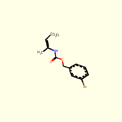 CCOC(=O)/C=C(/C)NC(=O)OCc1cccc(Br)c1